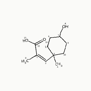 CC(=CC1(C)CCC(O)CC1)C(=O)O